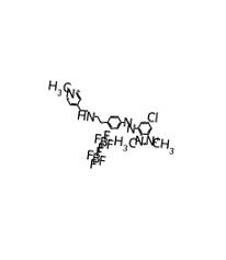 Cn1c[n+](C)c2cc(Cl)cc(N=Nc3ccc(CCNCCc4cc[n+](C)cc4)cc3)c21.F[B-](F)(F)F.F[B-](F)(F)F